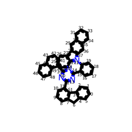 c1ccc2c(c1)Cc1cccc(-c3nc(-c4ccccc4-n4c5ccccc5c5cc6ccccc6cc54)nc(-c4cccc5ccccc45)n3)c1-2